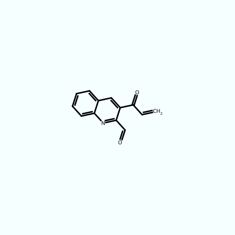 C=CC(=O)c1cc2ccccc2nc1C=O